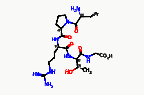 CC(C)C[C@@H](N)C(=O)N1CCC[C@@H]1C(=O)N[C@H](CCCNC(=N)N)C(=O)N[C@@H](C(=O)NCC(=O)O)[C@H](C)O